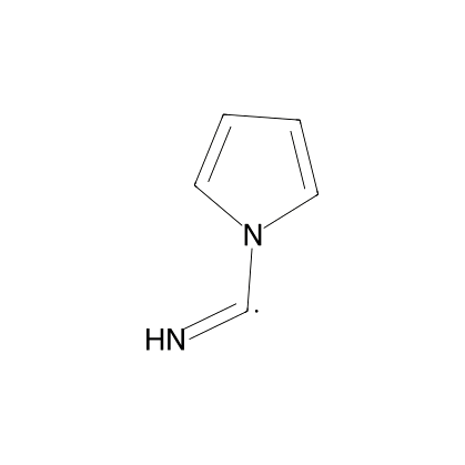 N=[C]n1cccc1